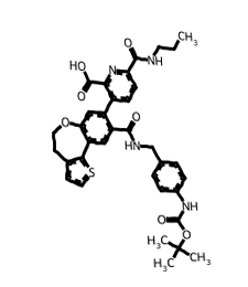 CCCNC(=O)c1ccc(-c2cc3c(cc2C(=O)NCc2ccc(NC(=O)OC(C)(C)C)cc2)-c2sccc2CCO3)c(C(=O)O)n1